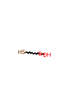 OCCOCCCCCCCCCCCS